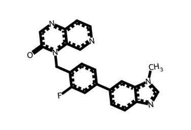 Cn1cnc2ccc(-c3ccc(Cn4c(=O)cnc5ccncc54)c(F)c3)cc21